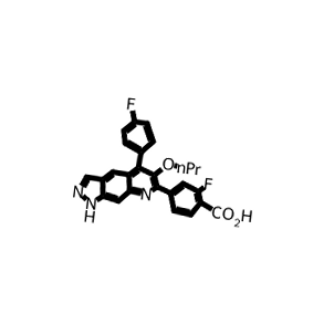 CCCOc1c(-c2ccc(C(=O)O)c(F)c2)nc2cc3[nH]ncc3cc2c1-c1ccc(F)cc1